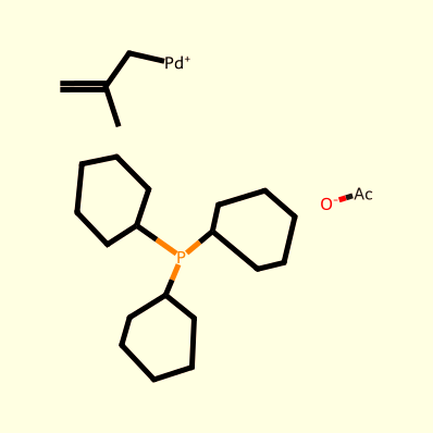 C1CCC(P(C2CCCCC2)C2CCCCC2)CC1.C=C(C)[CH2][Pd+].CC(=O)[O-]